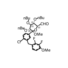 CCCCO[C@H]1[C@H](OCCCC)[C@@H](C=O)O[C@@](OC)(c2ccc(Cl)c(Cc3ccc(OC)c(F)c3F)c2)[C@@H]1OCCCC